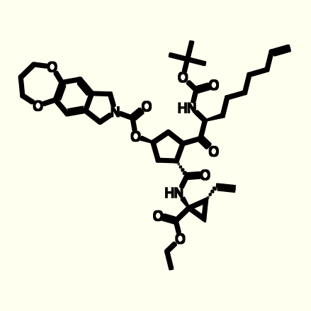 C=CCCCCC[C@H](NC(=O)OC(C)(C)C)C(=O)C1C[C@H](OC(=O)N2Cc3cc4c(cc3C2)OCCCO4)C[C@H]1C(=O)N[C@]1(C(=O)OCC)C[C@H]1C=C